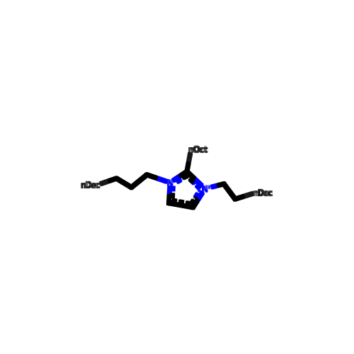 CCCCCCCCCCCCCn1cc[n+](CCCCCCCCCCCC)c1CCCCCCCC